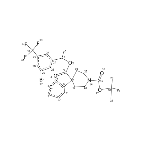 CC(OC(=O)C1(c2ccccc2)CCN(C(=O)OC(C)(C)C)CC1)c1cc(Br)cc(C(F)(F)F)c1